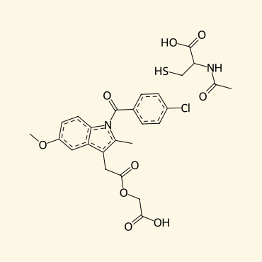 CC(=O)NC(CS)C(=O)O.COc1ccc2c(c1)c(CC(=O)OCC(=O)O)c(C)n2C(=O)c1ccc(Cl)cc1